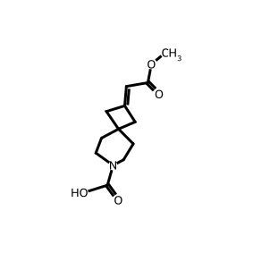 COC(=O)C=C1CC2(CCN(C(=O)O)CC2)C1